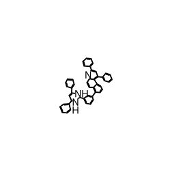 C1=C(c2ccccc2)NC(c2cccc(-c3cccc4c3ccc3nc(-c5ccccc5)cc(-c5ccccc5)c34)c2)NC1c1ccccc1